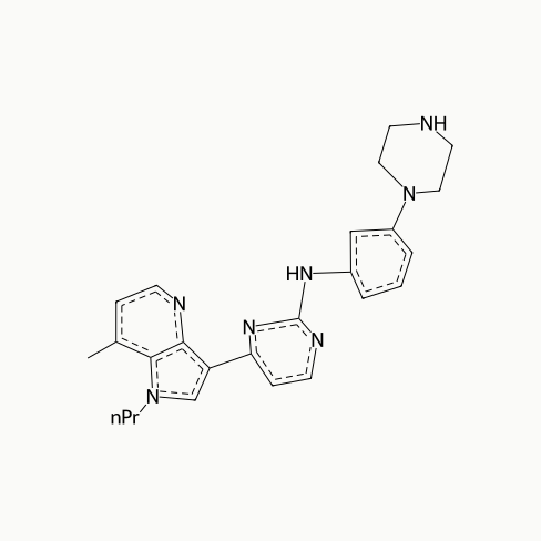 CCCn1cc(-c2ccnc(Nc3cccc(N4CCNCC4)c3)n2)c2nccc(C)c21